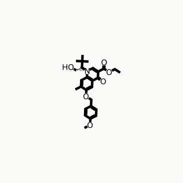 CCOC(=O)c1cn([C@H](CO)C(C)(C)C)c2cc(C)c(OCc3ccc(OC)cc3)cc2c1=O